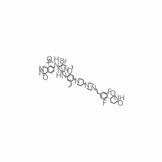 CCOc1cc(N2CCC(N3CCN(CCc4cc(F)c([C@H]5CCC(=O)NC5=O)c(F)c4)CC3)CC2)c(CC)cc1Nc1ncc(Br)c(Nc2ccc3c(=O)n(C)ncc3c2P(C)(C)=O)n1